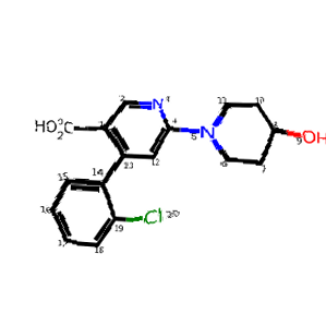 O=C(O)c1cnc(N2CCC(O)CC2)cc1-c1ccccc1Cl